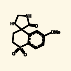 COc1ccc2c(c1)C1(CCS2(=O)=O)NCNC1=O